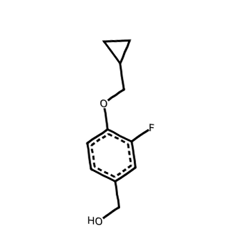 OCc1ccc(OCC2CC2)c(F)c1